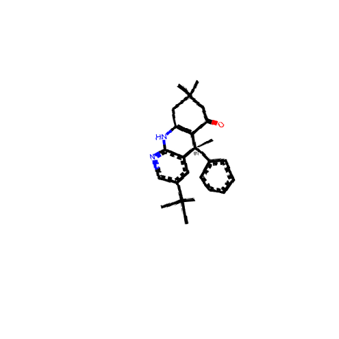 CC1(C)CC(=O)C2=C(C1)Nc1ncc(C(C)(C)C)cc1[C@@]2(C)c1ccccc1